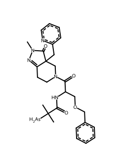 CN1N=C2CCN(C(=O)C(COCc3ccccc3)NC(=O)C(C)(C)[AsH2])CC2(Cc2ccccn2)C1=O